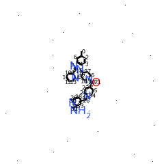 Cc1ccc2c(c1)nc(-c1ccccn1)n2C1CCN(C(=O)C2CCN(Cc3ccnc(N)c3)CC2)CC1